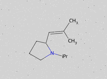 CC(C)=CC1CCCN1C(C)C